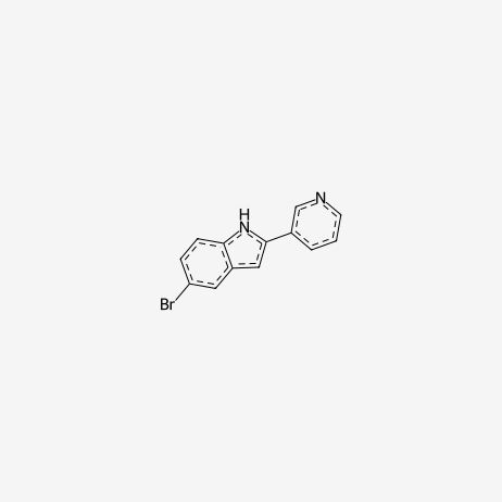 Brc1ccc2[nH]c(-c3cccnc3)cc2c1